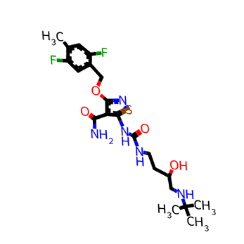 Cc1cc(F)c(COc2nsc(NC(=O)NCCC(O)CNC(C)(C)C)c2C(N)=O)cc1F